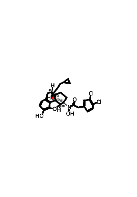 O=C(Cc1ccc(Cl)c(Cl)c1)N(O)[C@H]1CC[C@@]2(O)[C@H]3Cc4ccc(O)c5c4[C@@]2(CCN3CC2CC2)[C@H]1O5